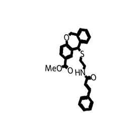 COC(=O)c1ccc2c(c1)C(SCCNC(=O)C=Cc1ccccc1)c1ccccc1CO2